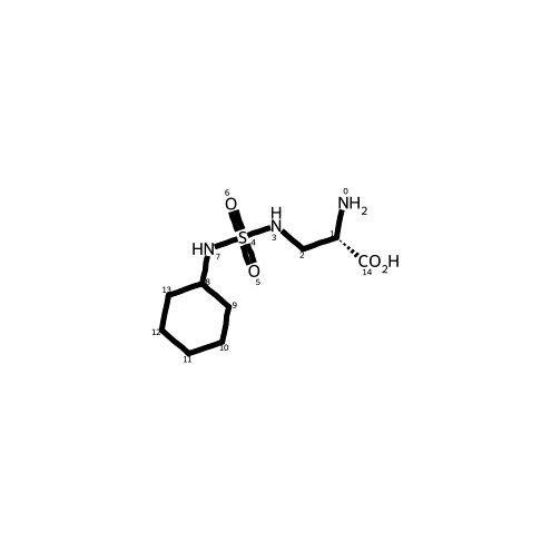 N[C@@H](CNS(=O)(=O)NC1CCCCC1)C(=O)O